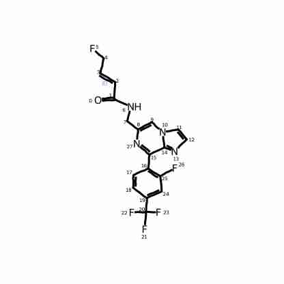 O=C(/C=C/CF)NCc1cn2ccnc2c(-c2ccc(C(F)(F)F)cc2F)n1